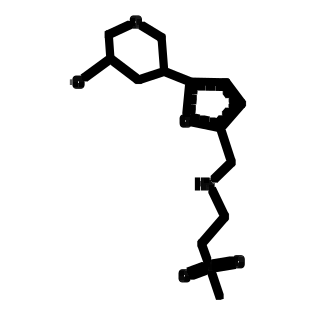 CS(=O)(=O)CCNCc1ccc(C2COCC([O])C2)o1